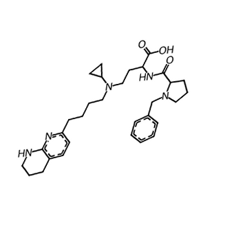 O=C(O)C(CCN(CCCCc1ccc2c(n1)NCCC2)C1CC1)NC(=O)C1CCCN1Cc1ccccc1